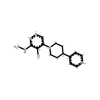 NNc1nncc(N2CCC(c3ccncc3)CC2)c1Cl